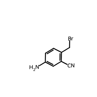 N#Cc1cc(N)ccc1CBr